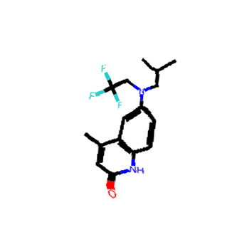 Cc1cc(=O)[nH]c2ccc(N(CC(C)C)CC(F)(F)F)cc12